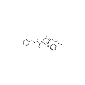 CN1C[C@H](C(=O)NCCc2ccccn2)C[C@@H]2c3cccc4c3c(cn4C)C[C@H]21